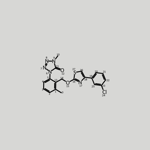 Cc1cccc(-n2nnn(C)c2=O)c1COc1nc(-c2cccc(Cl)c2)cs1